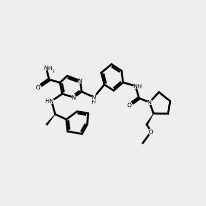 COC[C@@H]1CCCN1C(=O)Nc1cccc(Nc2ncc(C(N)=O)c(N[C@H](C)c3ccccc3)n2)c1